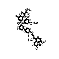 COc1cccc(Nc2c(C(N)=O)cnc3c(C)cc(S(=O)(=O)c4cccc(-c5ccc(CNCC(O)c6ccc(O)c7[nH]c(=O)ccc67)cc5)c4)cc23)c1